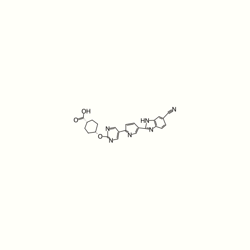 N#Cc1ccc2nc(-c3ccc(-c4cnc(O[C@H]5CC[C@@H](C(=O)O)CC5)nc4)nc3)[nH]c2c1